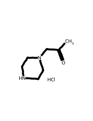 CC(=O)CN1CCNCC1.Cl